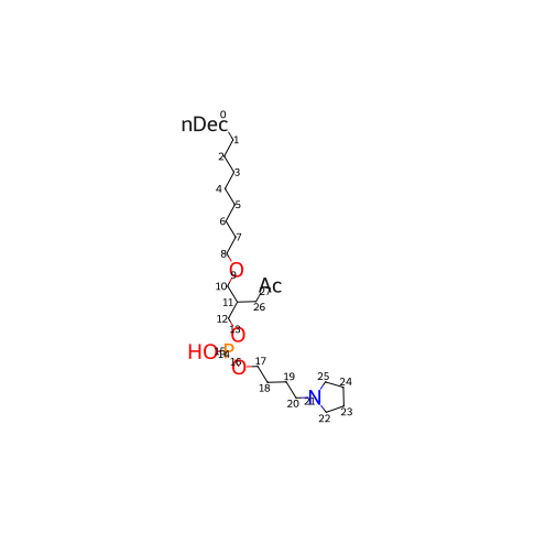 CCCCCCCCCCCCCCCCCCOCC(COP(O)OCCCCN1CCCC1)CC(C)=O